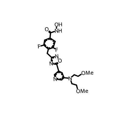 COCCN(CCOC)c1cncc(-c2nc(Cc3c(F)cc(C(=O)NO)cc3F)no2)c1